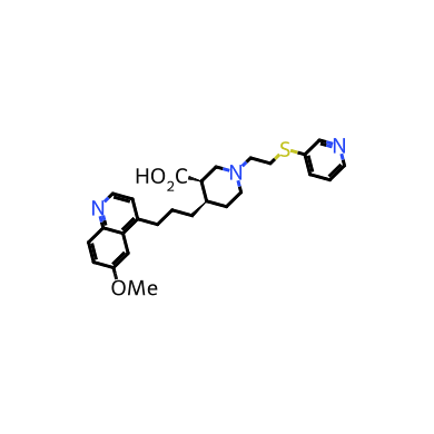 COc1ccc2nccc(CCC[C@@H]3CCN(CCSc4cccnc4)C[C@@H]3C(=O)O)c2c1